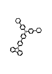 C1=CC(c2ccc(N(c3ccc(C4=CCCCC4)cc3)c3ccc(-c4ccc(-n5c6ccccc6c6ccccc65)cc4)cc3)cc2)CCC1